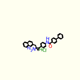 Cl.NC1(Cc2ccc3ccccc3c2)CC1c1ccc(NC(=O)c2ccc(-c3ccccc3)cc2)cc1